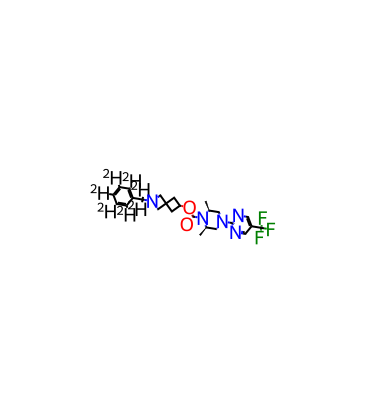 [2H]c1c([2H])c([2H])c(C([2H])([2H])N2CC3(CC(OC(=O)N4[C@H](C)CN(c5ncc(C(F)(F)F)cn5)C[C@@H]4C)C3)C2)c([2H])c1[2H]